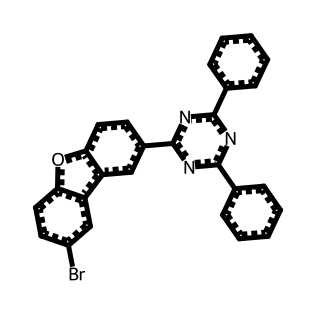 Brc1ccc2oc3ccc(-c4nc(-c5ccccc5)nc(-c5ccccc5)n4)cc3c2c1